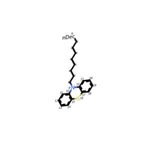 CCCCCCCCCCCCCCCCCCN1c2ccccc2Sc2ccccc21